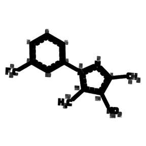 Cc1nn(-c2cccc(C(F)(F)F)c2)c(C)c1[N+](=O)[O-]